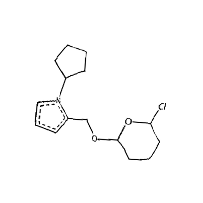 ClC1CCCC(OCc2cccn2C2CCCC2)O1